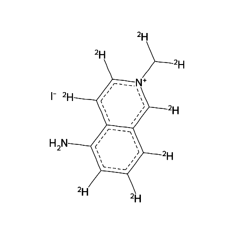 [2H]c1c([2H])c(N)c2c([2H])c([2H])[n+](C([2H])[2H])c([2H])c2c1[2H].[I-]